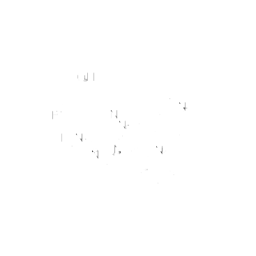 Cc1cc(-c2c(C(C)n3nc(-c4cc(O)cc(F)c4)c4c(N)ncnc43)cc3ccccn23)ccn1